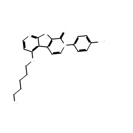 COc1ccc(-n2ccc3c(sc4nccc(NCCCCCO)c43)c2=O)cc1